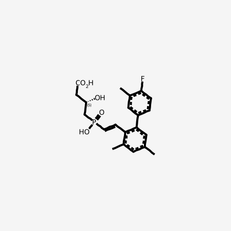 Cc1cc(C)c(C=CP(=O)(O)C[C@@H](O)CC(=O)O)c(-c2ccc(F)c(C)c2)c1